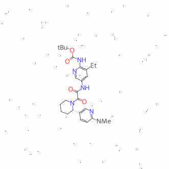 CCc1cc(NC(=O)C(=O)N2CCCC[C@H]2c2ccc(NC)nc2)cnc1NC(=O)OC(C)(C)C